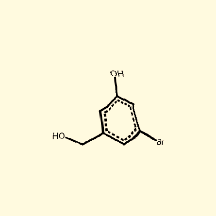 OCc1cc(O)cc(Br)c1